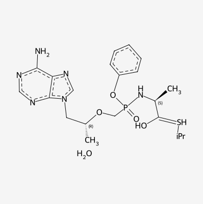 CC(C)[SH]=C(O)[C@H](C)NP(=O)(CO[C@H](C)Cn1cnc2c(N)ncnc21)Oc1ccccc1.O